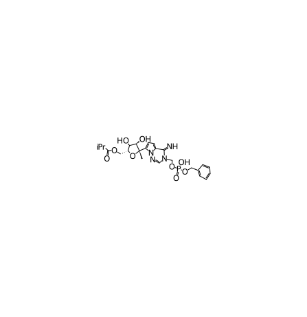 CC(C)C(=O)OC[C@H]1O[C@@](C)(c2ccc3c(=N)n(COP(=O)(O)OCc4ccccc4)cnn23)[C@H](O)[C@@H]1O